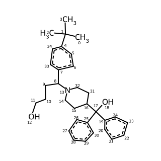 CC(C)(C)c1ccc(C(CCCO)N2CCC(C(O)(c3ccccc3)c3ccccc3)CC2)cc1